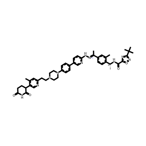 C/C(=N\Nc1ccc(-c2ccc(N3CCN(CCc4cc(C)c(C5CCC(=O)NC5=O)cn4)CC3)cc2)cn1)c1ccc([C@@H](C)NC(=O)c2nc(C(C)(C)C)no2)c(C)c1